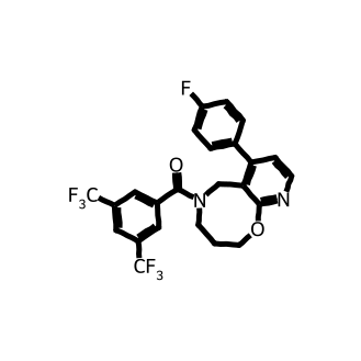 O=C(c1cc(C(F)(F)F)cc(C(F)(F)F)c1)N1CCCOc2nccc(-c3ccc(F)cc3)c2C1